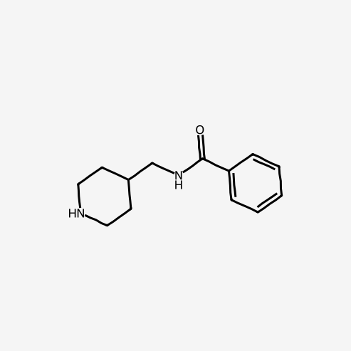 O=C(NCC1CCNCC1)c1ccccc1